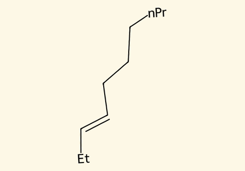 CCC=CCCCCCC